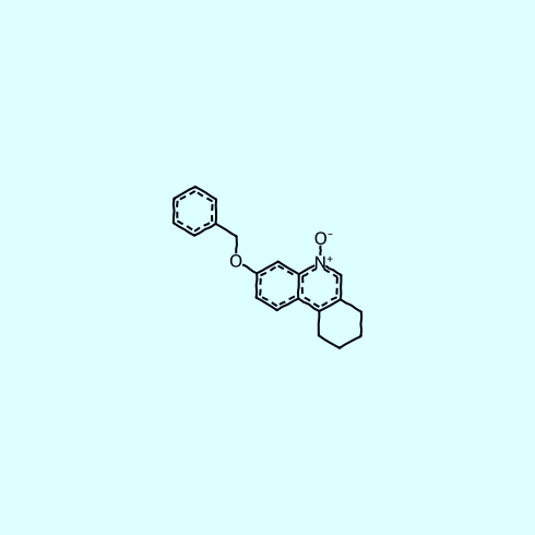 [O-][n+]1cc2c(c3ccc(OCc4ccccc4)cc31)CCCC2